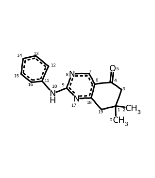 CC1(C)CC(=O)c2cnc(Nc3ccccc3)nc2C1